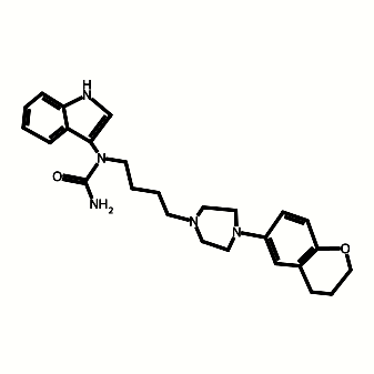 NC(=O)N(CCCCN1CCN(c2ccc3c(c2)CCCO3)CC1)c1c[nH]c2ccccc12